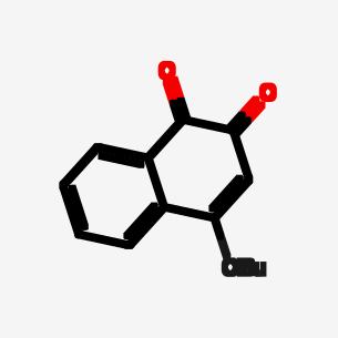 CC(C)COC1=CC(=O)C(=O)c2ccccc21